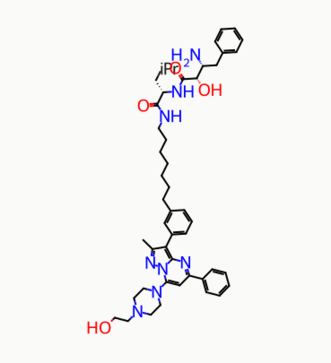 Cc1nn2c(N3CCN(CCO)CC3)cc(-c3ccccc3)nc2c1-c1cccc(CCCCCCCNC(=O)[C@H](CC(C)C)NC(=O)[C@@H](O)[C@H](N)Cc2ccccc2)c1